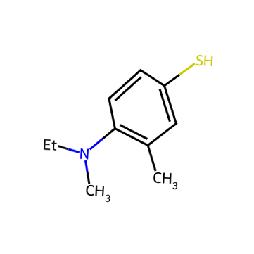 CCN(C)c1ccc(S)cc1C